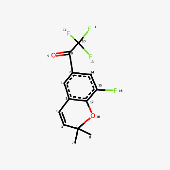 CC1(C)C=Cc2cc(C(=O)C(F)(F)F)cc(F)c2O1